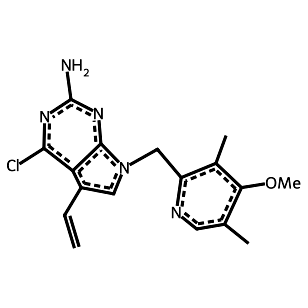 C=Cc1cn(Cc2ncc(C)c(OC)c2C)c2nc(N)nc(Cl)c12